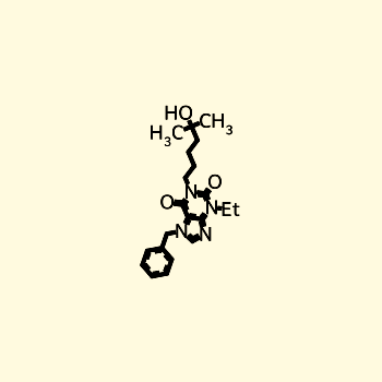 CCn1c(=O)n(CCCCC(C)(C)O)c(=O)c2c1ncn2Cc1ccccc1